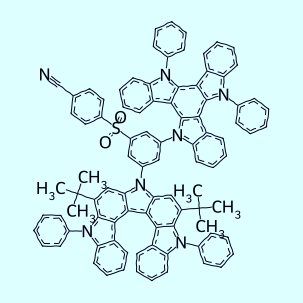 CC(C)(C)c1cc2c(c3c4c5ccccc5n(-c5ccccc5)c4c(C(C)(C)C)cc3n2-c2cc(-n3c4ccccc4c4c5c(c6ccccc6n5-c5ccccc5)c5c(c6ccccc6n5-c5ccccc5)c43)cc(S(=O)(=O)c3ccc(C#N)cc3)c2)c2c3ccccc3n(-c3ccccc3)c12